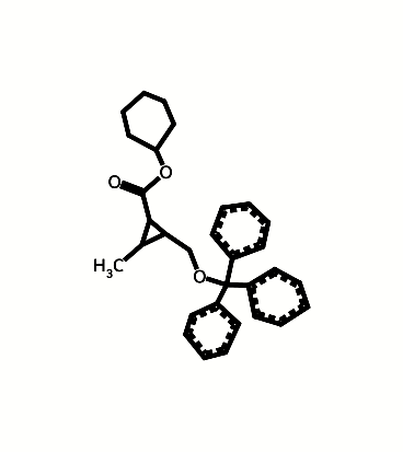 CC1C(COC(c2ccccc2)(c2ccccc2)c2ccccc2)C1C(=O)OC1CCCCC1